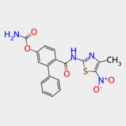 Cc1nc(NC(=O)c2ccc(OC(N)=O)cc2-c2ccccc2)sc1[N+](=O)[O-]